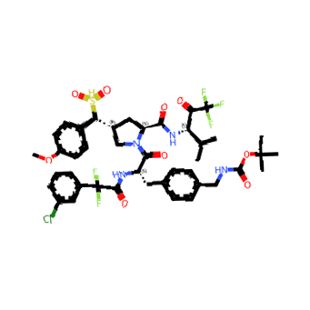 COc1ccc(C([C@@H]2C[C@@H](C(=O)N[C@H](C(=O)C(F)(F)F)C(C)C)N(C(=O)[C@H](Cc3ccc(CNC(=O)OC(C)(C)C)cc3)NC(=O)C(F)(F)c3cccc(Cl)c3)C2)[SH](=O)=O)cc1